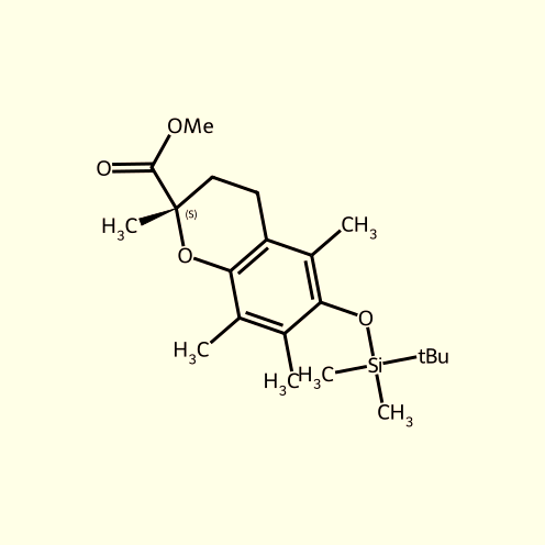 COC(=O)[C@]1(C)CCc2c(C)c(O[Si](C)(C)C(C)(C)C)c(C)c(C)c2O1